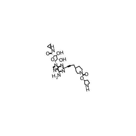 Nc1nc(C#CCC2CCN(C(=O)OC3CCNC3)CC2)nc2c1ncn2[C@@H]1O[C@H](C(=O)NC2CC2)C(O)[C@@H]1O